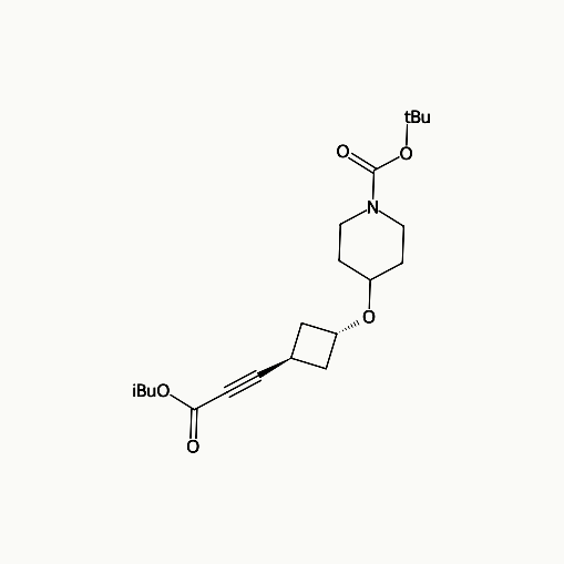 CC(C)COC(=O)C#C[C@H]1C[C@H](OC2CCN(C(=O)OC(C)(C)C)CC2)C1